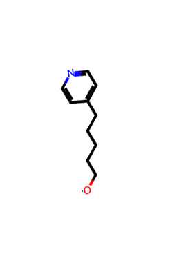 [O]CCCCCc1ccncc1